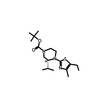 CCc1sc(N2CCN(C(=O)OC(C)(C)C)C[C@H]2C(C)C)nc1C